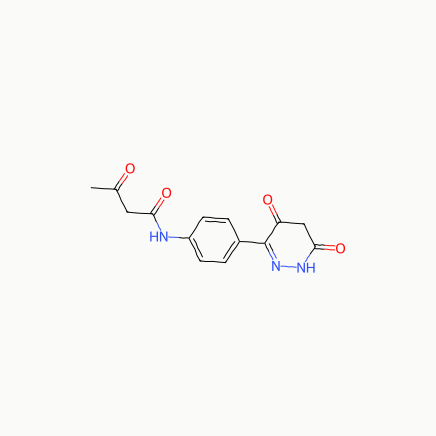 CC(=O)CC(=O)Nc1ccc(C2=NNC(=O)CC2=O)cc1